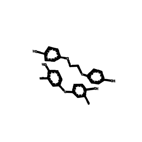 Cc1cc(Oc2ccc(O)c(C)c2)ccc1O.Oc1ccc(OCCOc2ccc(O)cc2)cc1